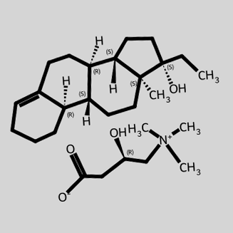 CC[C@]1(O)CC[C@H]2[C@@H]3CCC4=CCCC[C@@H]4[C@H]3CC[C@@]21C.C[N+](C)(C)C[C@H](O)CC(=O)[O-]